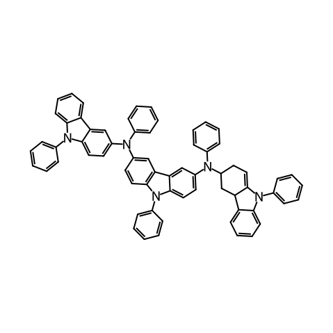 C1=C2C(CC(N(c3ccccc3)c3ccc4c(c3)c3cc(N(c5ccccc5)c5ccc6c(c5)c5ccccc5n6-c5ccccc5)ccc3n4-c3ccccc3)C1)c1ccccc1N2c1ccccc1